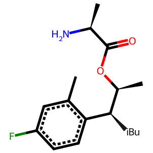 CCC(C)[C@@H](c1ccc(F)cc1C)[C@H](C)OC(=O)[C@H](C)N